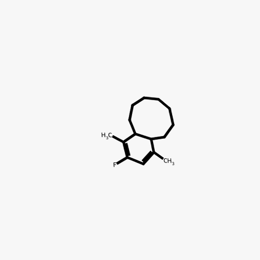 CC1=CC(F)=C(C)C2CCCCCCCC12